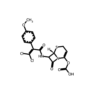 COc1ccc(C(C(=O)NC2C(=O)N3C(OC(=O)O)=CCS[C@@H]23)=C(Cl)Cl)cc1